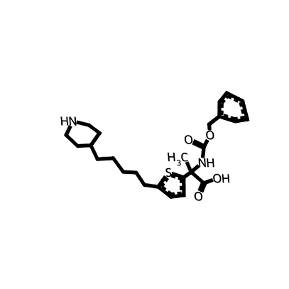 CC(NC(=O)OCc1ccccc1)(C(=O)O)c1ccc(CCCCCC2CCNCC2)s1